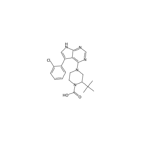 CC(C)(C)C1CN(c2ncnc3[nH]cc(-c4ccccc4Cl)c23)CCN1C(=O)O